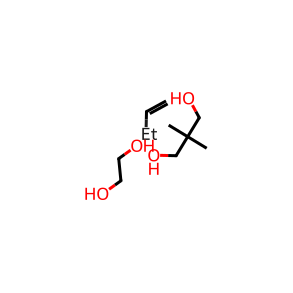 C=CCC.CC(C)(CO)CO.OCCO